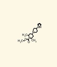 CCOC(=O)N1C(C)CC(N2CCC(n3cccn3)CC2)CC1C